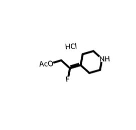 CC(=O)OCC(F)=C1CCNCC1.Cl